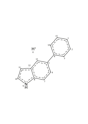 [H+].c1ccc(-c2ccc3[nH]ccc3c2)cc1